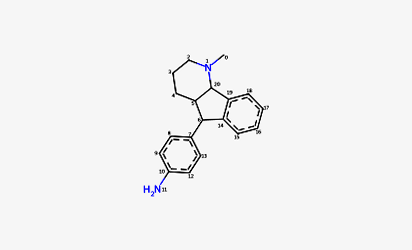 CN1CCCC2C(c3ccc(N)cc3)c3ccccc3C21